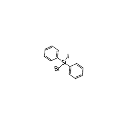 Br[Si](I)(c1ccccc1)c1ccccc1